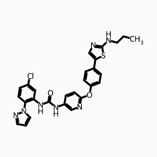 CCCNc1ncc(-c2ccc(Oc3ccc(NC(=O)Nc4cc(Cl)ccc4-n4cccn4)cn3)cc2)s1